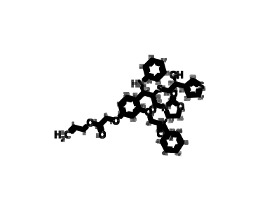 C=CCOC(=O)COc1ccc([C@@H](Nc2ccccc2)[C@@H](SC[C@H](O)c2ccsc2)C(=O)N2C(=O)OC[C@@H]2Cc2ccccc2)c(OCC=C)c1